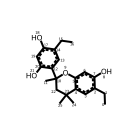 CCc1cc2c(cc1O)OC(C)(c1cc(CC)c(O)cc1O)CC2(C)C